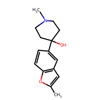 Cc1cc2cc(C3(O)CCN(C)CC3)ccc2o1